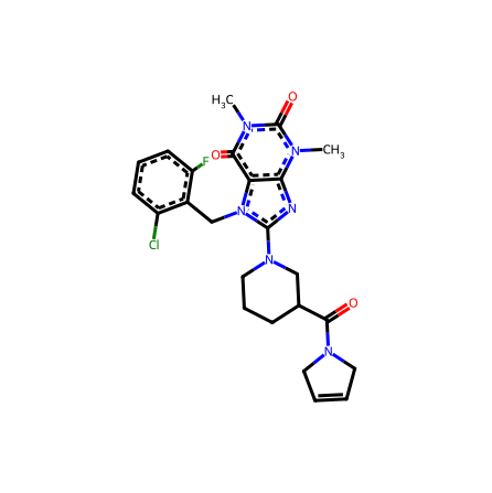 Cn1c(=O)c2c(nc(N3CCCC(C(=O)N4CC=CC4)C3)n2Cc2c(F)cccc2Cl)n(C)c1=O